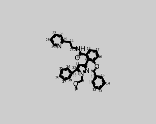 COCn1nc(-c2c(OCc3ccccc3)cccc2C(=O)NCCc2ccccn2)cc1-c1ccccc1